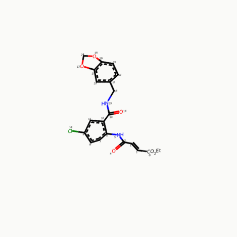 CCOC(=O)/C=C/C(=O)Nc1ccc(Cl)cc1C(=O)NCc1ccc2c(c1)OCO2